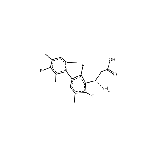 Cc1cc(C)c(-c2cc(C)c(F)c([C@@H](N)CC(=O)O)c2F)c(C)c1F